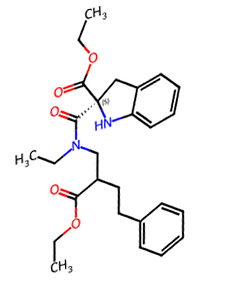 CCOC(=O)C(CCc1ccccc1)CN(CC)C(=O)[C@]1(C(=O)OCC)Cc2ccccc2N1